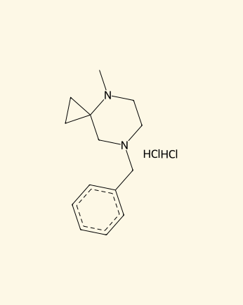 CN1CCN(Cc2ccccc2)CC12CC2.Cl.Cl